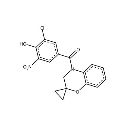 O=C(c1cc(Cl)c(O)c([N+](=O)[O-])c1)N1CC2(CC2)Oc2ccccc21